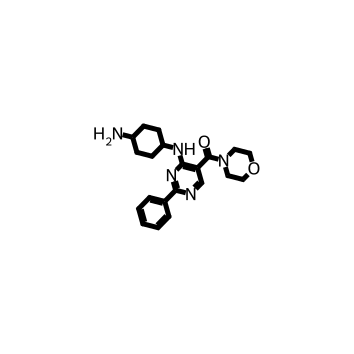 NC1CCC(Nc2nc(-c3ccccc3)ncc2C(=O)N2CCOCC2)CC1